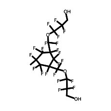 CC1(F)C(F)(F)C(F)(C(F)(F)OC(F)(F)C(F)(F)CO)C(F)(F)C(F)(C(F)(F)OC(F)(F)C(F)(F)CO)C1(F)F